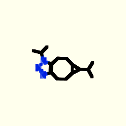 CC(C)C1C2CCc3nnn(C(C)C)c3CCC21